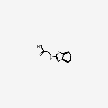 [NH]C(=O)CNc1nc2ccccc2s1